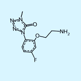 Cn1nnn(-c2ccc(F)cc2OCCN)c1=O